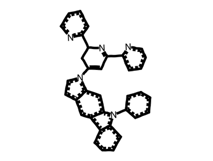 C1=C(n2ccc3cc4c5ccccc5n(-c5ccccc5)c4cc32)CC(c2ccccn2)N=C1c1ccccn1